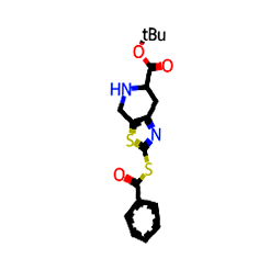 CC(C)(C)OC(=O)C1Cc2nc(SC(=O)c3ccccc3)sc2CN1